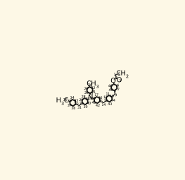 C=CC(=O)Oc1ccc(Cc2ccc(Cc3ccc(N(c4ccc(C)cc4)c4ccc(Cc5ccc(C)cc5)cc4)cc3)cc2)cc1